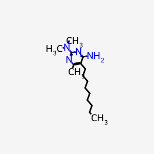 CCCCCCCCCc1c(C)nc(N(C)C)nc1N